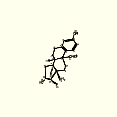 C[C@]12CCC3(C=O)c4ccc(O)cc4CC[C@H]3[C@@H]1C[C@@H](O)[C@@H]2F